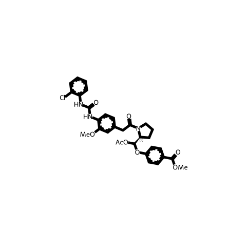 COC(=O)c1ccc(OC(OC(C)=O)[C@@H]2CCCN2C(=O)Cc2ccc(NC(=O)Nc3ccccc3Cl)c(OC)c2)cc1